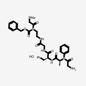 CNCC(=O)N(CCNC(=O)CNC(=O)[C@H](CC(C)C)NC(=O)[C@H](C)N(C(=O)CN)c1ccccc1)C(=O)OCc1ccccc1.Cl